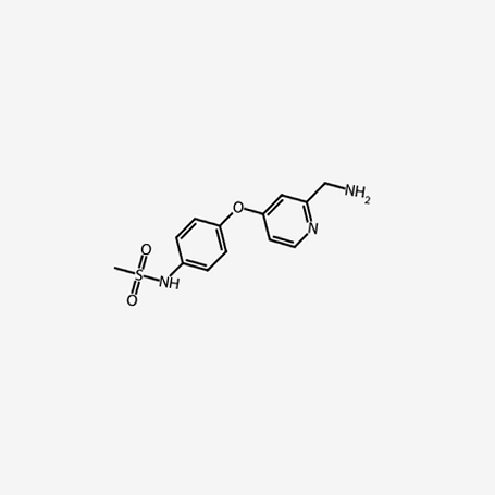 CS(=O)(=O)Nc1ccc(Oc2ccnc(CN)c2)cc1